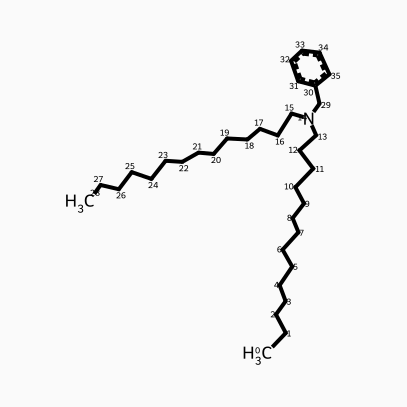 CCCCCCCCCCCCCCN(CCCCCCCCCCCCCC)Cc1ccccc1